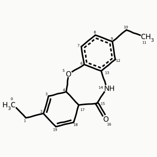 CCC1=CC2Oc3ccc(CC)cc3NC(=O)C2C=C1